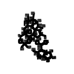 CC1=C[C@]23C(=O)[C@@H](C=C4COC(C)(C)O[C@H]4[C@]2(O)[C@H]1OC(=O)c1c(C)nc2sccn12)C(C)(C)[C@@H](C)C[C@H]3C